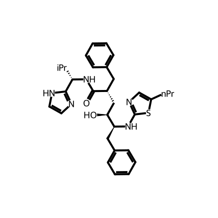 CCCc1cnc(N[C@@H](Cc2ccccc2)[C@@H](O)C[C@@H](Cc2ccccc2)C(=O)N[C@H](c2ncc[nH]2)C(C)C)s1